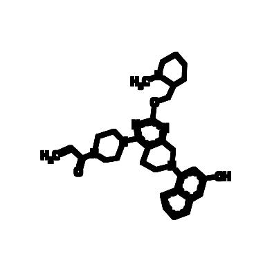 C=CC(=O)N1CCN(c2nc(OCC3CCCCN3C)nc3c2CCN(c2cc(O)cc4ccccc24)C3)CC1